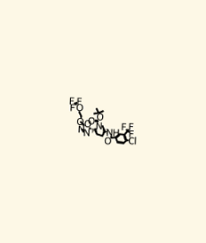 CC(C)(C)OC(=O)N1C[C@@H](NC(=O)c2ccc(Cl)c(C(F)(F)F)c2)CC[C@@H]1c1nnc(OCCOC(F)(F)F)o1